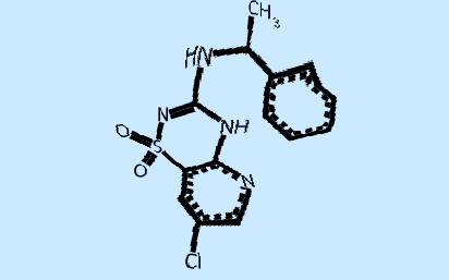 C[C@H](NC1=NS(=O)(=O)c2cc(Cl)cnc2N1)c1ccccc1